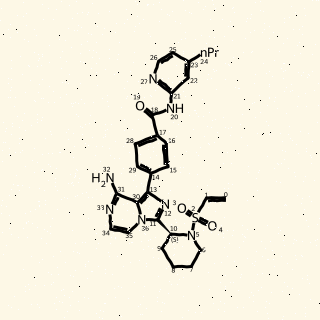 C=CS(=O)(=O)N1CCCC[C@H]1c1nc(-c2ccc(C(=O)Nc3cc(CCC)ccn3)cc2)c2c(N)nccn12